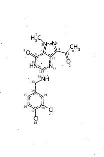 CC(=O)c1nn(C)c2c(=O)[nH]c(NCc3ccc(Cl)c(Cl)c3)nc12